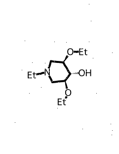 CCO[C@H]1CN(CC)C[C@@H](OCC)[C@@H]1O